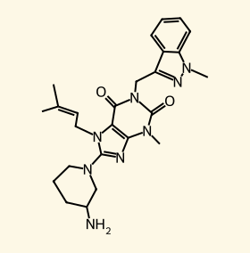 CC(C)=CCn1c(N2CCCC(N)C2)nc2c1c(=O)n(Cc1nn(C)c3ccccc13)c(=O)n2C